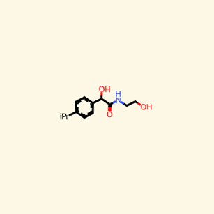 CC(C)c1ccc(C(O)C(=O)NCCO)cc1